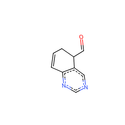 O=CC1CC=Cc2ncncc21